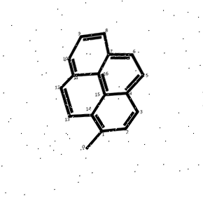 [CH2]c1ccc2ccc3cccc4ccc1c2c34